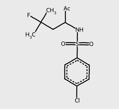 CC(=O)C(CC(C)(C)F)NS(=O)(=O)c1ccc(Cl)cc1